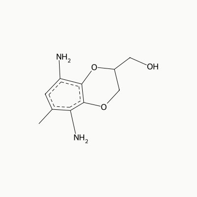 Cc1cc(N)c2c(c1N)OCC(CO)O2